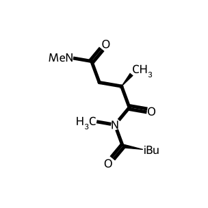 CC[C@H](C)C(=O)N(C)C(=O)[C@H](C)CC(=O)NC